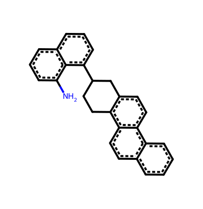 Nc1cccc2cccc(C3CCc4c(ccc5c4ccc4ccccc45)C3)c12